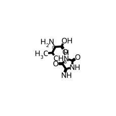 CC(C)[C@H](N)C(=O)O.N=C1NC(=O)NC1=O